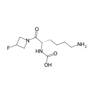 NCCCC[C@H](NC(=O)O)C(=O)N1CC(F)C1